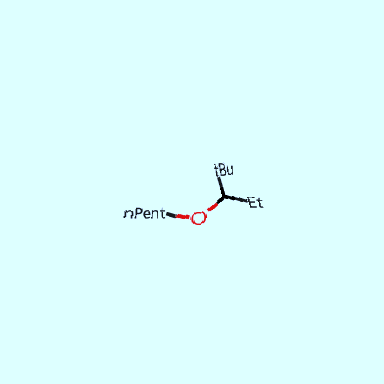 [CH2]CC(OCCCCC)C(C)(C)C